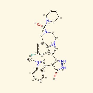 Cn1cc(-c2c(-c3cn4c5c(cc(F)cc35)CN(C(=O)N3CCCCC3)CC4)[nH][nH]c2=O)c2ccccc21